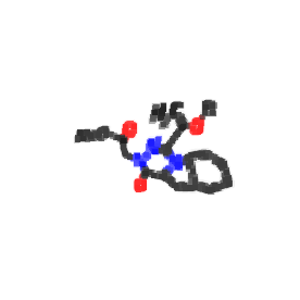 C=C(OCC)c1nn(CC(=O)OC)c(=O)c2cc3ccccc3n12